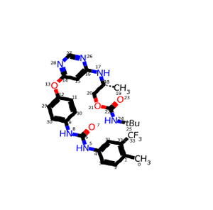 Cc1ccc(NC(=O)Nc2ccc(Oc3cc(N[C@H](C)COC(=O)NC(C)(C)C)ncn3)cc2)cc1C(F)(F)F